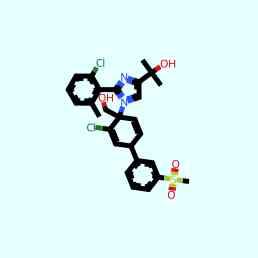 Cc1cccc(Cl)c1-c1nc(C(C)(C)O)cn1C1(CO)C=CC(c2cccc(S(C)(=O)=O)c2)C=C1Cl